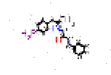 C[C@H](Cc1ccc(P)cc1)NCC(=O)/C=C/c1ccccc1